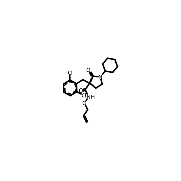 C=CCONC(=O)C1(Cc2c(Cl)cccc2Cl)CCN(C2CCCCC2)C1=O